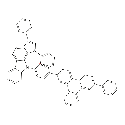 c1ccc(-c2ccc3c4ccc(-c5ccc(-n6c7ccccc7c7ccc8c(-c9ccccc9)cn(-c9ccccc9)c8c76)cc5)cc4c4ccccc4c3c2)cc1